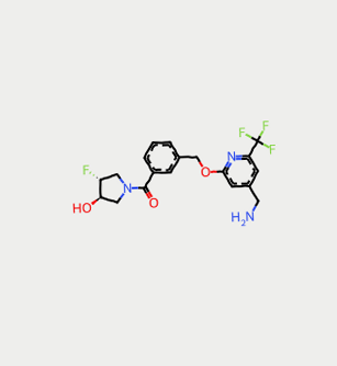 NCc1cc(OCc2cccc(C(=O)N3C[C@@H](O)[C@H](F)C3)c2)nc(C(F)(F)F)c1